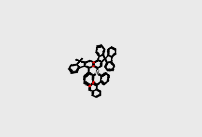 CC1(C)c2ccccc2-c2c(-c3ccccc3N(c3ccc4c(c3)C3(c5ccccc5-c5ccccc53)c3ccccc3-4)c3ccccc3-c3cccc4ccccc34)cccc21